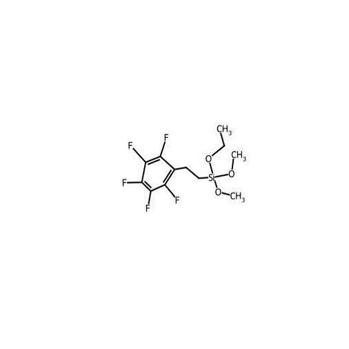 CCO[Si](CCc1c(F)c(F)c(F)c(F)c1F)(OC)OC